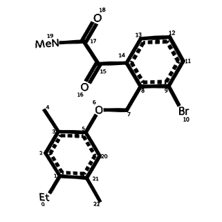 CCc1cc(C)c(OCc2c(Br)cccc2C(=O)C(=O)NC)cc1C